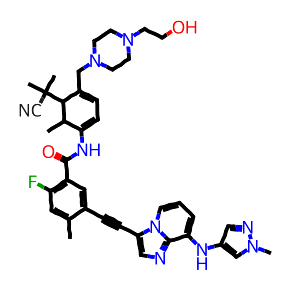 Cc1cc(F)c(C(=O)NC2=CC=C(CN3CCN(CCO)CC3)C(C(C)(C)C#N)C2C)cc1C#Cc1cnc2c(Nc3cnn(C)c3)cccn12